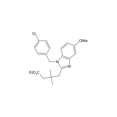 CCOC(=O)CC(C)(C)Cc1nc2cc(OC)ccc2n1Cc1ccc(Cl)cc1